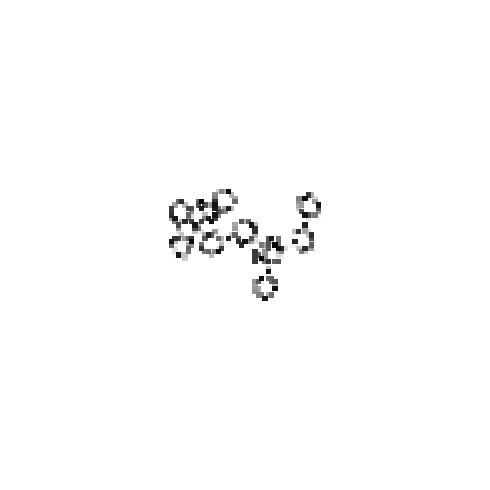 c1ccc(-c2cccc(-c3cc(-c4ccccc4)nc(-c4cccc(-c5cccc6c5-c5c(sc7ccccc57)C65c6ccccc6-c6ccccc65)c4)n3)c2)cc1